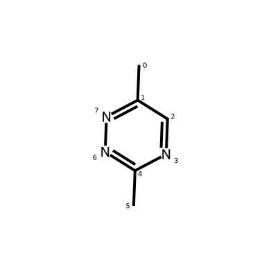 Cc1cnc(C)nn1